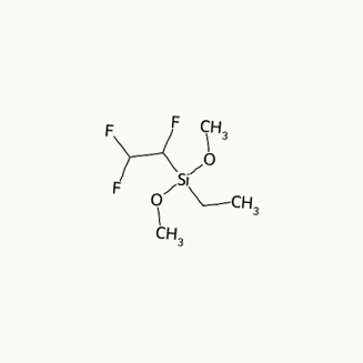 CC[Si](OC)(OC)C(F)C(F)F